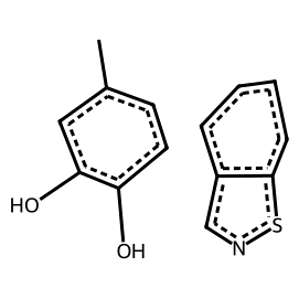 Cc1ccc(O)c(O)c1.c1ccc2sncc2c1